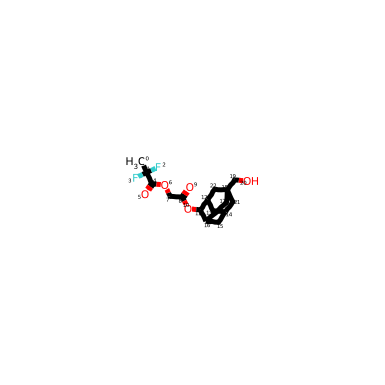 CC(F)(F)C(=O)OCC(=O)OC1C2CC3CC1CC(CO)(C3)C2